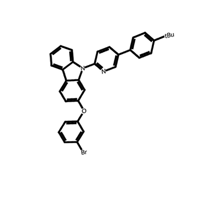 CC(C)(C)c1ccc(-c2ccc(-n3c4ccccc4c4ccc(Oc5cccc(Br)c5)cc43)nc2)cc1